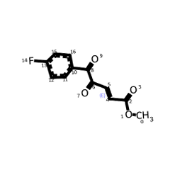 COC(=O)/C=C/C(=O)C(=O)c1ccc(F)cc1